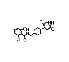 O=C(NCC1=CC=C(c2cc(=O)[nH]cc2F)CC1)c1c(Cl)cccc1Cl